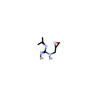 CC(C)=N/C(=N/C(C)C)N(CC1CO1)C(C)C